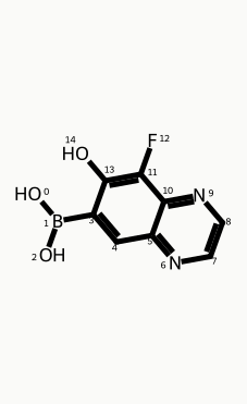 OB(O)c1cc2nccnc2c(F)c1O